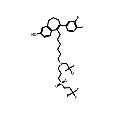 CC(C)(O)CN(CCCCCCC1=C(c2ccc(F)c(F)c2)CCCc2cc(O)ccc21)CCCS(=O)(=O)CCC(F)(F)F